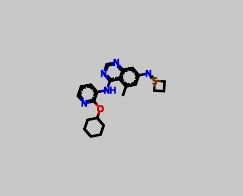 Cc1cc(N=S2CCC2)cc2ncnc(Nc3cccnc3OC3CCCCC3)c12